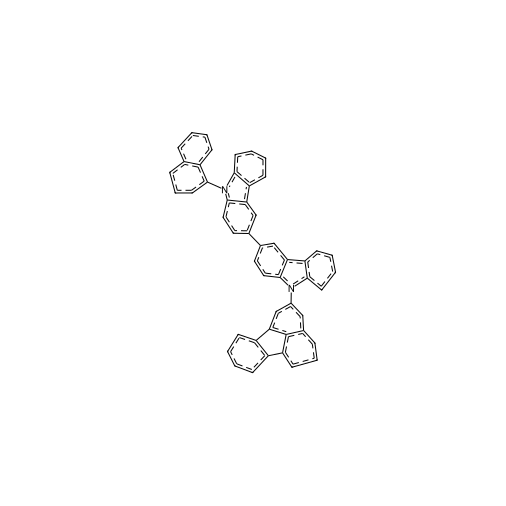 c1ccc2c(c1)-c1cccc3cc(-n4c5ccccc5c5cc(-c6ccc7c(c6)c6ccccc6n7-c6cccc7ccccc67)ccc54)cc-2c13